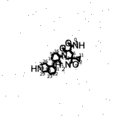 CNC(=O)C1=CC(C(N)=O)(C2CC2)CN(c2cccc(-c3cccc4c3CCNC4)c2C)C1=O